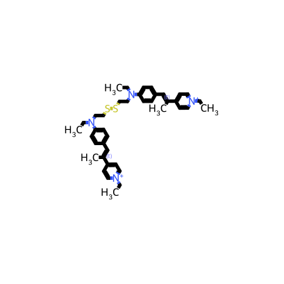 CCN(CCSSCCN(CC)c1ccc(/C=C(\C)c2cc[n+](CC)cc2)cc1)c1ccc(/C=C(\C)c2cc[n+](CC)cc2)cc1